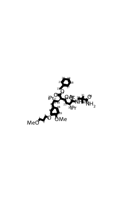 COCCCOc1cc(C[C@H](C[C@@H](C(=O)OCc2ccccc2)[C@H](C[C@H](C(=O)NCC(C)(C)C(N)=O)C(C)C)OC(C)=O)C(C)C)ccc1OC